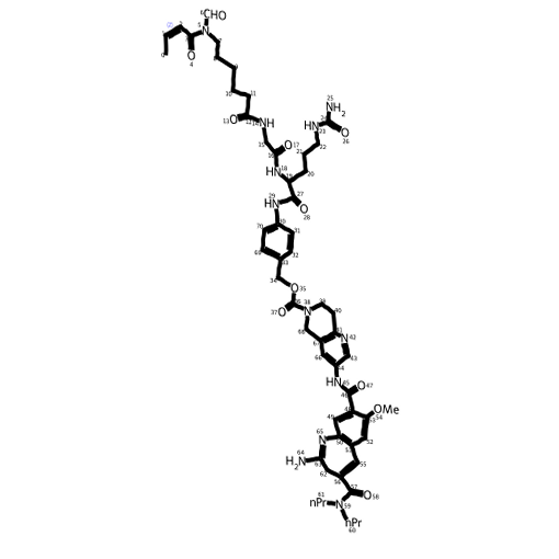 C/C=C\C(=O)N(C=O)CCCCCC(=O)NCC(=O)NC(CCCNC(N)=O)C(=O)Nc1ccc(COC(=O)N2CCc3ncc(NC(=O)c4cc5c(cc4OC)C=C(C(=O)N(CCC)CCC)CC(N)=N5)cc3C2)cc1